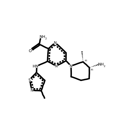 Cc1cc(Nc2nc(N3CCC[C@@H](N)[C@H]3C)cnc2C(N)=O)sn1